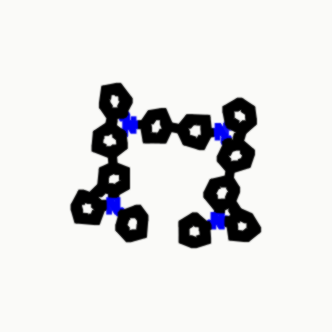 c1ccc(-n2c3ccccc3c3cc(-c4ccc5c6ccccc6n(-c6ccc(-c7ccc(-n8c9ccccc9c9ccc(-c%10ccc%11c(c%10)c%10ccccc%10n%11-c%10ccccc%10)cc98)cc7)cc6)c5c4)ccc32)cc1